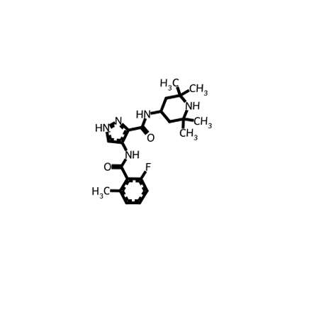 Cc1cccc(F)c1C(=O)Nc1c[nH]nc1C(=O)NC1CC(C)(C)NC(C)(C)C1